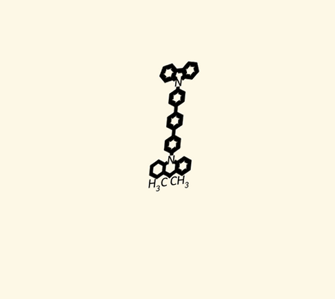 CC1(C)c2ccccc2N(c2ccc(-c3ccc(-c4ccc(-n5c6ccccc6c6ccccc65)cc4)cc3)cc2)C2CCCCC21